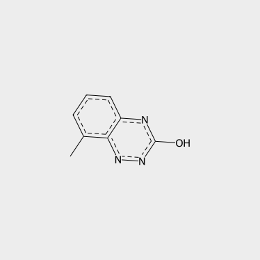 Cc1cccc2nc(O)nnc12